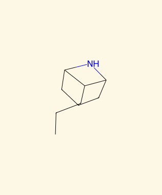 CCCC1C2CCCC1N2